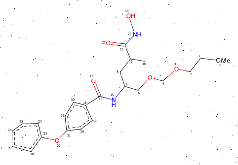 COCCOCOCC(CC(C)C(=O)NO)NC(=O)c1ccc(Oc2ccccc2)cc1